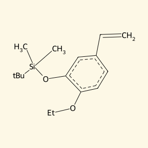 C=Cc1ccc(OCC)c(O[Si](C)(C)C(C)(C)C)c1